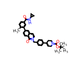 Cc1ccc(C(=O)NC2CC2)cc1-c1ccc2c(=O)n(Cc3ccc(C4=CCN(C(=O)OC(C)(C)C)CC4)cc3)ccc2c1